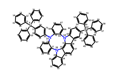 c1ccc([Si](c2ccccc2)(c2ccccc2)c2ccc(-n3c4ccccc4n4c5ccccc5c5ccc6c7cc([Si](c8ccccc8)(c8ccccc8)c8ccccc8)ccc7n(c7ccccc73)c6c54)cc2)cc1